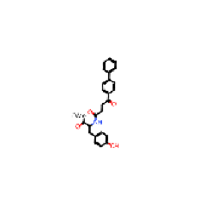 COC(=O)C(Cc1ccc(O)cc1)NC(=O)CCC(=O)c1ccc(-c2ccccc2)cc1